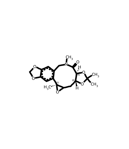 CN1Cc2cc3c(cc2[C@]2(C)OC2C[C@H]2OC(C)(C)O[C@@H]2C1=O)OCO3